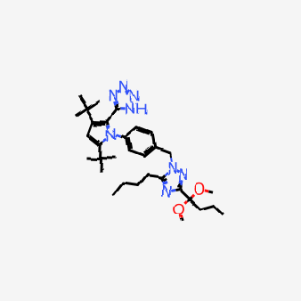 CCCCc1nc(C(CCC)(OC)OC)nn1Cc1ccc(-n2c(C(C)(C)C)cc(C(C)(C)C)c2-c2nnn[nH]2)cc1